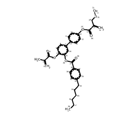 C=C(C)C(=O)Oc1ccc(-c2ccc(OC(=O)C(=C)COC)cc2)cc1OC(=O)c1ccc(CCCCCC)cc1